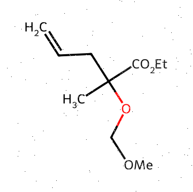 C=CCC(C)(OCOC)C(=O)OCC